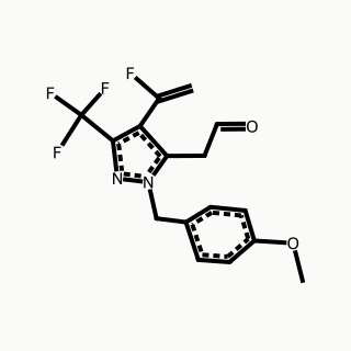 C=C(F)c1c(C(F)(F)F)nn(Cc2ccc(OC)cc2)c1CC=O